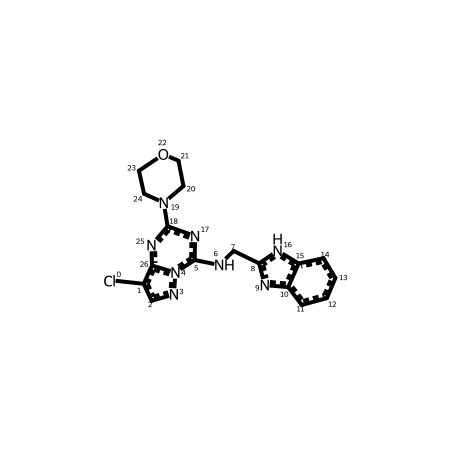 Clc1cnn2c(NCc3nc4ccccc4[nH]3)nc(N3CCOCC3)nc12